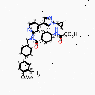 COc1ccc([C@H]2CC[C@H](CN(c3cc(-c4cnn(C5CC5)c4)ccn3)C(=O)[C@H]3CC[C@H](NC(=O)C(=O)O)CC3)CC2)cc1C